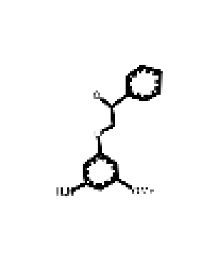 COc1cc(N)cc(OCC(O)c2ccccc2)c1